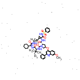 C=CC1C[C@]1(NC(=O)[C@@H]1CC(Oc2cc(-c3ccccc3)nc3cc(OC)ccc23)CN1C(=O)N[C@H](C(=O)N[C@H](C(=O)NC)C1CCCCC1)C(C)(C)C)C(=O)NS(=O)(=O)c1ccccc1